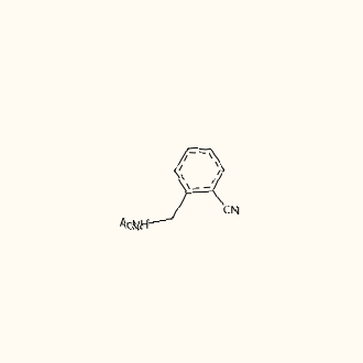 CC(=O)NCc1ccccc1C#N